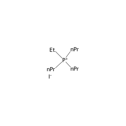 CCC[P+](CC)(CCC)CCC.[I-]